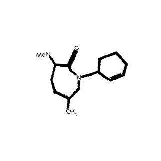 CNC1CCC(C)CN(C2C=CCCC2)C1=O